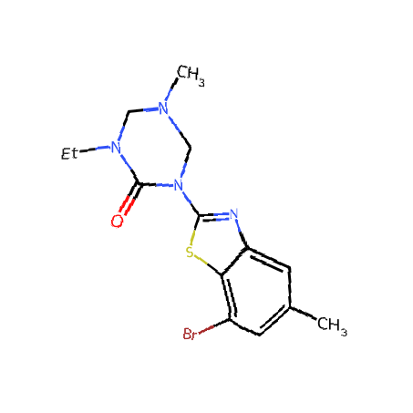 CCN1CN(C)CN(c2nc3cc(C)cc(Br)c3s2)C1=O